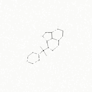 CC(C)(C1CCCCC1)C1CCC2CCCC3CCC1C32